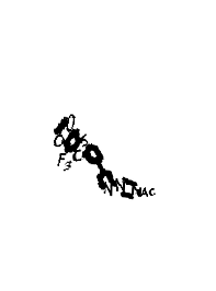 CC(=O)N1CCN(c2cc(-c3ccc(Sc4ccc5c(c4)OCCO5)c(C(F)(F)F)c3)ccn2)CC1